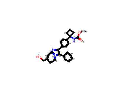 CC(C)(C)OC(=O)NC1(c2ccc(-c3nc4cc(CO)ccn4c3-c3ccccc3)cc2)CCC1